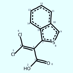 O=C(O)C(=C(Cl)Cl)c1scc2ccccc12